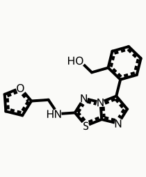 OCc1ccccc1-c1cnc2sc(NCc3ccco3)nn12